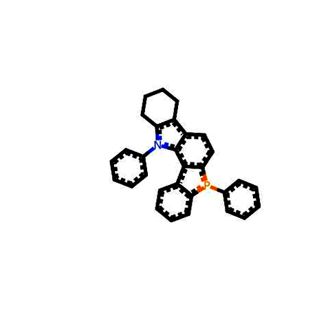 c1ccc(-n2c3c(c4ccc5c(c6ccccc6p5-c5ccccc5)c42)CCCC3)cc1